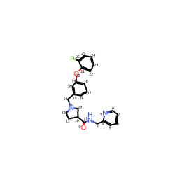 O=C(NCc1ccccn1)C1CCN(Cc2cccc(Oc3ccccc3F)c2)C1